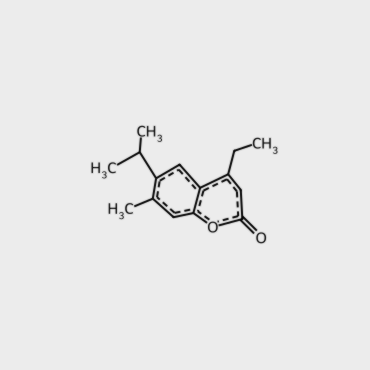 CCc1cc(=O)oc2cc(C)c(C(C)C)cc12